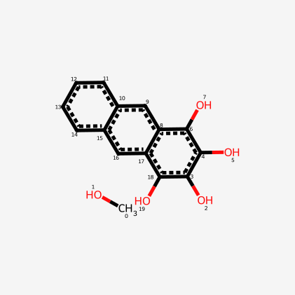 CO.Oc1c(O)c(O)c2cc3ccccc3cc2c1O